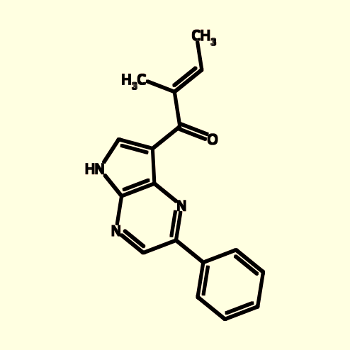 C/C=C(\C)C(=O)c1c[nH]c2ncc(-c3ccccc3)nc12